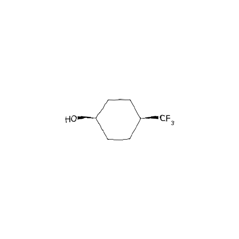 O[C@H]1CC[C@@H](C(F)(F)F)CC1